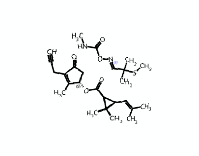 C#CCC1=C(C)[C@@H](OC(=O)C2C(C=C(C)C)C2(C)C)CC1=O.CNC(=O)O/N=C/C(C)(C)SC